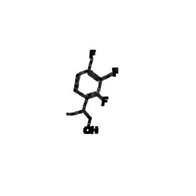 [CH2]C(CO)c1ccc(F)c(F)c1F